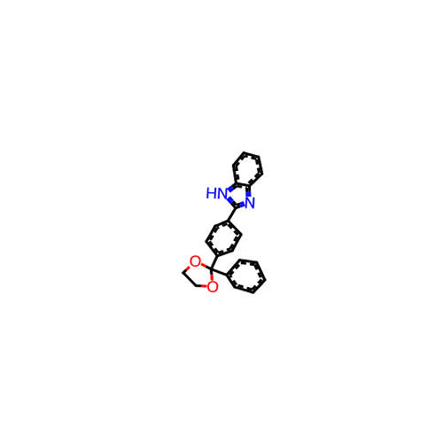 c1ccc(C2(c3ccc(-c4nc5ccccc5[nH]4)cc3)OCCO2)cc1